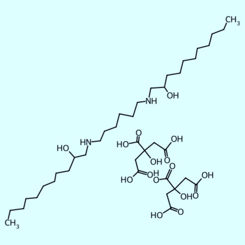 CCCCCCCCCC(O)CNCCCCCCNCC(O)CCCCCCCCC.O=C(O)CC(O)(CC(=O)O)C(=O)O.O=C(O)CC(O)(CC(=O)O)C(=O)O